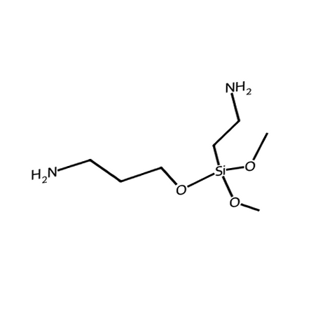 CO[Si](CCN)(OC)OCCCN